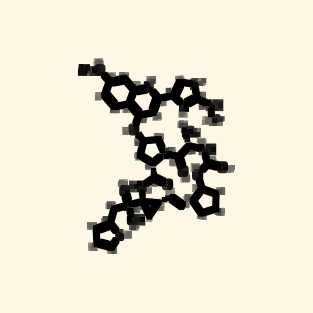 C=C[C@@H]1C[C@]1(NC(=O)[C@@H]1C[C@@H](Oc2cc(-c3csc(NC(C)C)n3)nc3cc(OC)ccc23)CN1C(=O)[C@@H](NC(=O)OC1CCCC1)C(C)(C)C)P(=O)(O)Cc1cccs1